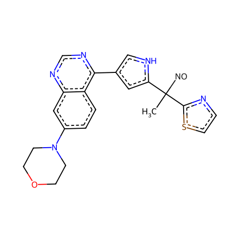 CC(N=O)(c1cc(-c2ncnc3cc(N4CCOCC4)ccc23)c[nH]1)c1nccs1